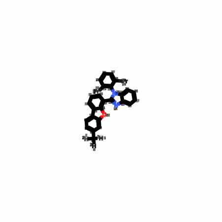 [2H]C([2H])([2H])c1ccc2c(c1)oc1c(-c3nc4ccccc4n3-c3c(C(C)C)cccc3C(C)C)cccc12